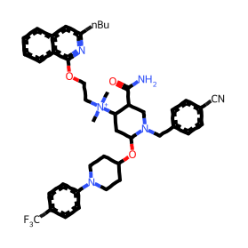 CCCCc1cc2ccccc2c(OCC[N+](C)(C)C2CC(OC3CCN(c4ccc(C(F)(F)F)cc4)CC3)N(Cc3ccc(C#N)cc3)CC2C(N)=O)n1